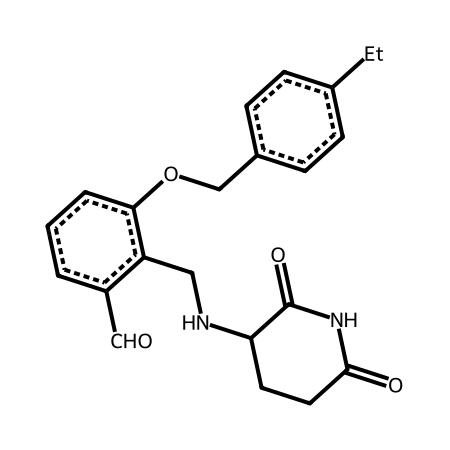 CCc1ccc(COc2cccc(C=O)c2CNC2CCC(=O)NC2=O)cc1